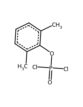 Cc1cccc(C)c1OP(=O)(Cl)Cl